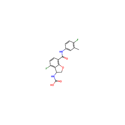 Cc1cc(NC(=O)c2ccc(F)c3c2OCC3NC(=O)O)ccc1F